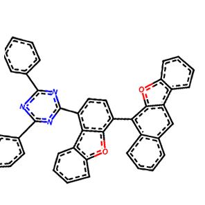 c1ccc(-c2nc(-c3ccccc3)nc(-c3ccc(-c4c5ccccc5cc5c4oc4ccccc45)c4oc5ccccc5c34)n2)cc1